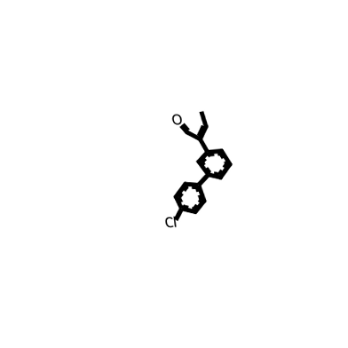 CC=C(C=O)c1cccc(-c2ccc(Cl)cc2)c1